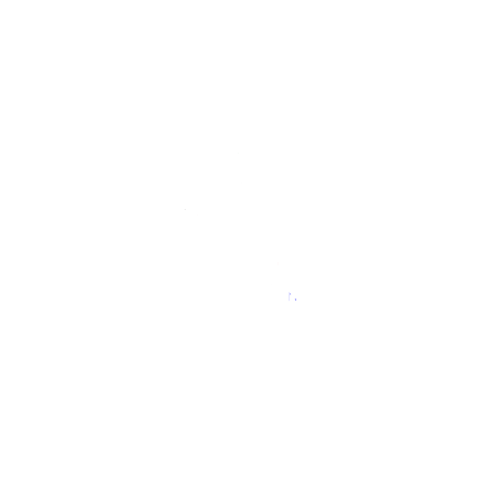 Clc1ccc(COc2ccccn2)c2occc12